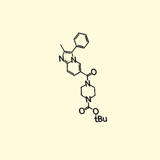 Cc1nc2ccc(C(=O)N3CCN(C(=O)OC(C)(C)C)CC3)cn2c1-c1ccccc1